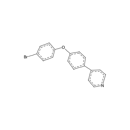 Brc1ccc(Oc2ccc(-c3ccncc3)cc2)cc1